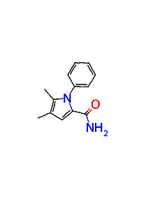 Cc1cc(C(N)=O)n(-c2ccccc2)c1C